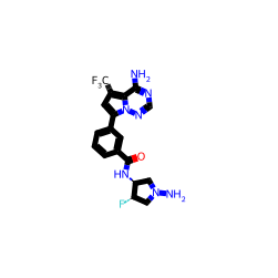 Nc1ncnn2c(-c3cccc(C(=O)N[C@@H]4CN(N)C[C@@H]4F)c3)cc(C(F)(F)F)c12